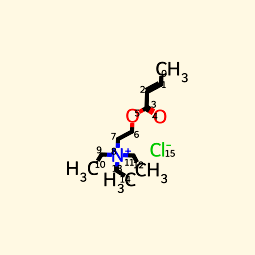 CC=CC(=O)OCC[N+](CC)(CC)CC.[Cl-]